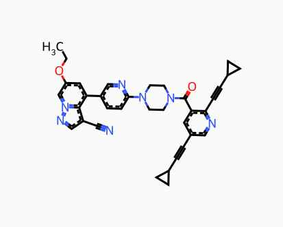 CCOc1cc(-c2ccc(N3CCN(C(=O)c4cc(C#CC5CC5)cnc4C#CC4CC4)CC3)nc2)c2c(C#N)cnn2c1